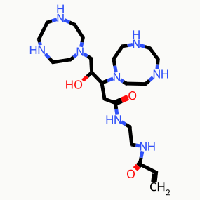 C=CC(=O)NCCNC(=O)CC(C(O)CN1CCNCCNCC1)N1CCNCCNCC1